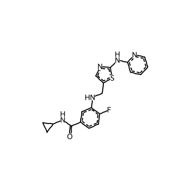 O=C(NC1CC1)c1ccc(F)c(NCc2cnc(Nc3ccccn3)s2)c1